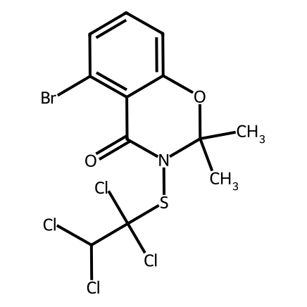 CC1(C)Oc2cccc(Br)c2C(=O)N1SC(Cl)(Cl)C(Cl)Cl